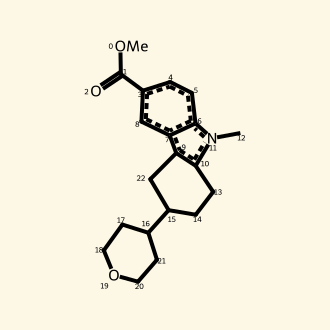 COC(=O)c1ccc2c(c1)c1c(n2C)CCC(C2CCOCC2)C1